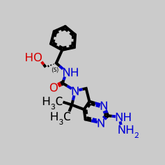 CC1(C)c2cnc(NN)nc2CN1C(=O)N[C@H](CO)c1ccccc1